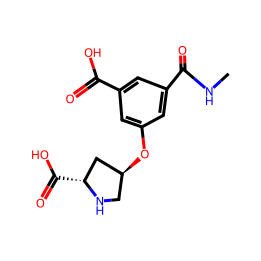 CNC(=O)c1cc(O[C@H]2CN[C@H](C(=O)O)C2)cc(C(=O)O)c1